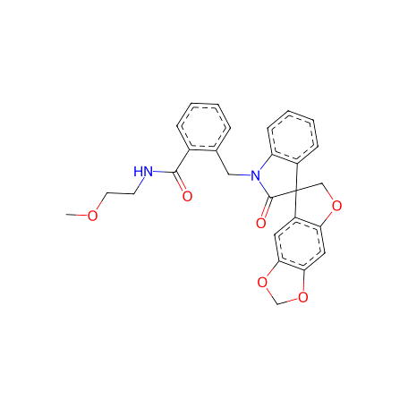 COCCNC(=O)c1ccccc1CN1C(=O)C2(COc3cc4c(cc32)OCO4)c2ccccc21